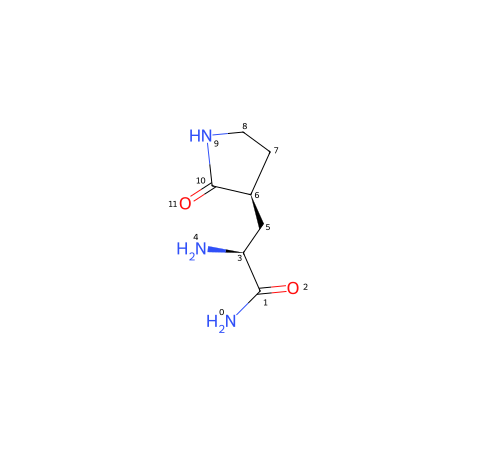 NC(=O)[C@@H](N)C[C@@H]1CCNC1=O